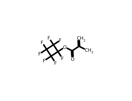 C=C(C)C(=O)OC1(F)C(F)(F)C(F)(F)C1(F)F